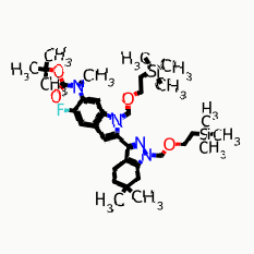 CN(C(=O)OC(C)(C)C)c1cc2c(cc1F)cc(-c1nn(COCC[Si](C)(C)C)c3c1CCC(C)(C)C3)n2COCC[Si](C)(C)C